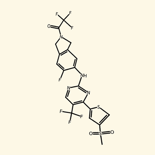 CS(=O)(=O)c1csc(-c2nc(Nc3cc4c(cc3F)CN(C(=O)C(F)(F)F)C4)ncc2C(F)(F)F)c1